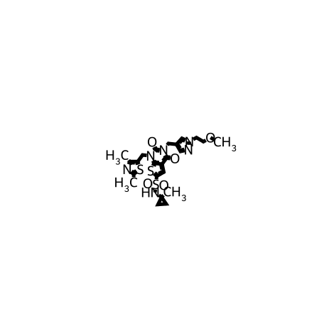 COCCn1cc(Cn2c(=O)c3cc(S(=O)(=O)NC4(C)CC4)sc3n(Cc3sc(C)nc3C)c2=O)cn1